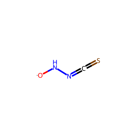 [O]NN=C=S